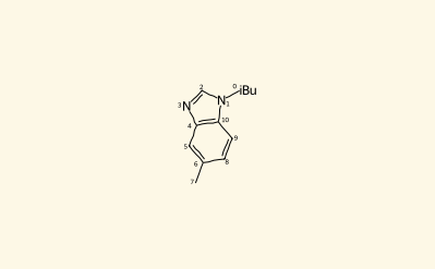 CCC(C)n1cnc2cc(C)ccc21